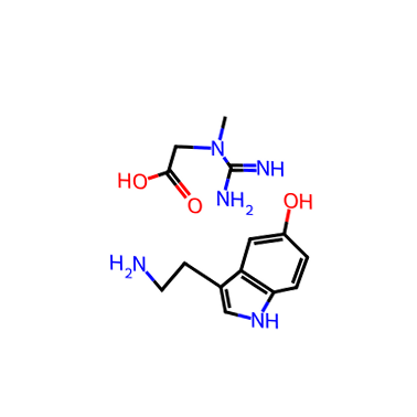 CN(CC(=O)O)C(=N)N.NCCc1c[nH]c2ccc(O)cc12